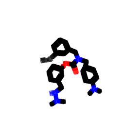 COc1cccc(CN(Cc2ccc(N(C)C)cc2)C(=O)Oc2cccc(CNN(C)C)c2)c1